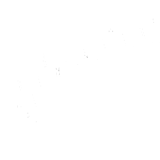 CS(=O)(=O)Cc1cccc(C(=O)NCCN2CCC(Oc3ccc(Cl)c(Cl)c3)CC2)c1